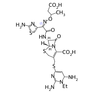 CCN1C(N)=NC(SCC2=C(C(=O)O)N3C(=O)[C@@H](NC(=O)/C(=N\OC(C)CC(=O)O)c4csc(N)n4)[C@H]3SC2)=CC1N